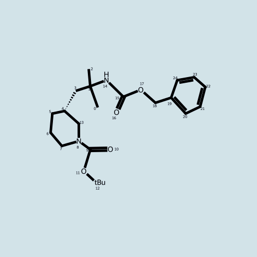 CC(C)(C[C@H]1CCCN(C(=O)OC(C)(C)C)C1)NC(=O)OCc1ccccc1